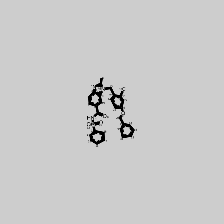 Cc1nc2ccc(C(=O)NS(=O)(=O)c3ccccc3)cc2n1Cc1ccc(OCc2ccccc2)cc1Cl